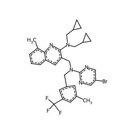 Cc1cc(CN(Cc2cc3cccc(C)c3nc2N(CC2CC2)CC2CC2)c2ncc(Br)cn2)cc(C(F)(F)F)c1